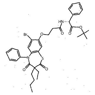 CCCCC1(CC)C(=O)Sc2cc(OCCC(=O)N[C@@H](C(=O)OC(C)(C)C)c3ccccc3)c(Br)cc2N(c2ccccc2)C1=O